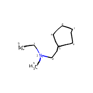 CC(=O)CN(C)CC1CCCC1